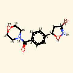 O=C(c1ccc([C@H]2CC(Br)=NO2)cc1)N1CCOCC1